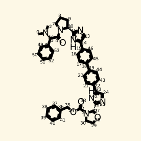 CN(C)[C@@H](C(=O)N1CCC[C@H]1c1ncc(-c2ccc(-c3ccc(-c4cnc([C@@H]5OCCN5C(=O)OCc5ccccc5)[nH]4)cc3)cc2)[nH]1)c1ccccc1